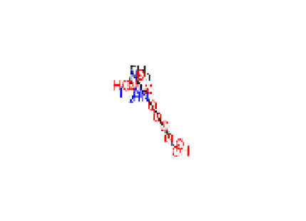 CN(CC(=O)O)C(=O)CCC(N)C(=O)NCCOCCOCCOCCOCCC(=O)O